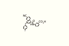 Cc1ccc(Cn2cc(C(=O)Nc3cccc(C(=O)O)c3)c3ccc(C#N)cc32)cc1